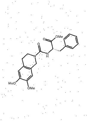 COC(=O)[C@H](Cc1ccccc1)NC(=O)N1CCc2cc(OC)c(OC)cc2C1